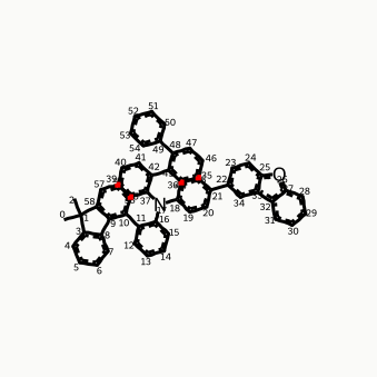 CC1(C)c2ccccc2-c2c(-c3ccccc3N(c3ccc(-c4ccc5oc6ccccc6c5c4)cc3)c3ccccc3-c3ccccc3-c3ccccc3)cccc21